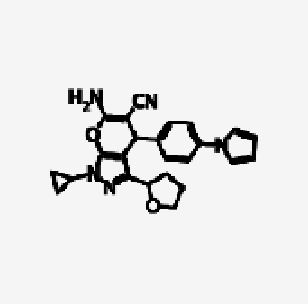 N#CC1=C(N)Oc2c(c(C3CCCO3)nn2C2CC2)C1c1ccc(-n2cccc2)cc1